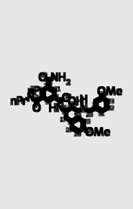 CCCN(CCC)C(=O)c1cc(C(N)=O)cc(C(=O)NC(Cc2ccc(OC)cc2)[C@H](O)CNCc2cccc(OC)c2)c1